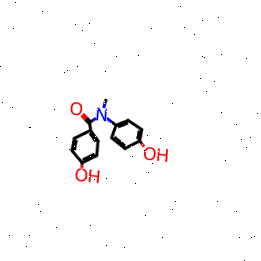 CN(C(=O)c1ccc(O)cc1)c1ccc(O)cc1